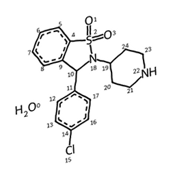 O.O=S1(=O)c2ccccc2C(c2ccc(Cl)cc2)N1C1CCNCC1